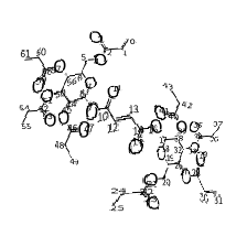 CCC(=O)OC[C@H]1O[C@H](OC(=O)/C=C/C(=O)O[C@H]2O[C@H](COC(=O)CC)[C@@H](OC(=O)CC)[C@H](OC(=O)CC)[C@H]2OC(=O)CC)[C@H](OC(=O)CC)[C@@H](OC(=O)CC)[C@@H]1OC(=O)CC